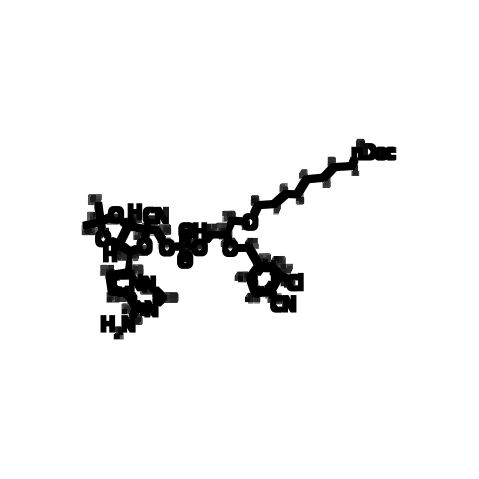 CCCCCCCCCCCCCCCCCCOC[C@H](COP(=O)(O)OC[C@@]1(C#N)O[C@@H](c2ccc3c(N)ncnn23)[C@@H]2OC(C)(C)O[C@@H]21)OCc1ccc(C#N)c(Cl)c1